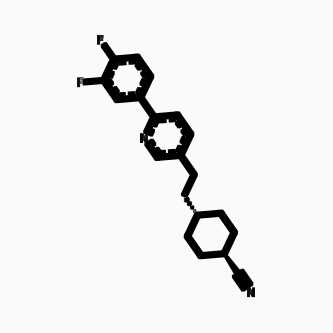 N#C[C@H]1CC[C@H](CCc2ccc(-c3ccc(F)c(F)c3)nc2)CC1